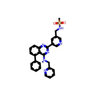 CN(Cc1ccccn1)c1nc(-c2cncc(CNS(C)(=O)=O)c2)nc2cccc(-c3ccccc3)c12